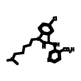 CN(C)CCCCCN1NC(Nc2cnccc2C(=O)O)c2cc(Cl)ccc21